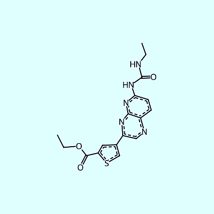 CCNC(=O)Nc1ccc2ncc(-c3csc(C(=O)OCC)c3)nc2n1